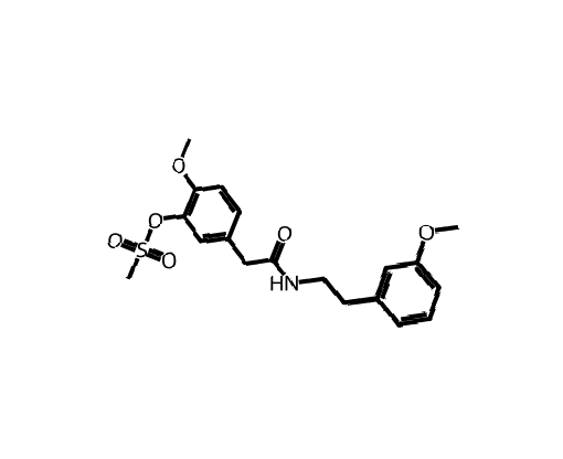 COc1cccc(CCNC(=O)Cc2ccc(OC)c(OS(C)(=O)=O)c2)c1